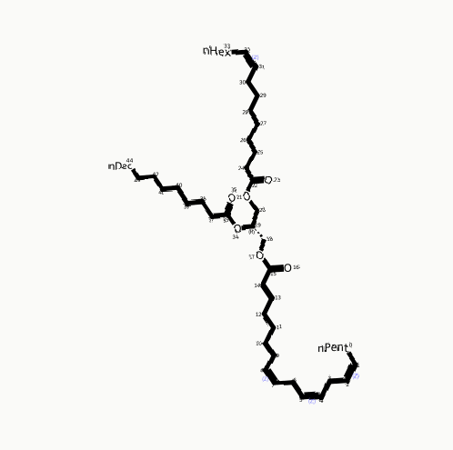 CCCCC/C=C\C/C=C\C/C=C\CCCCCCC(=O)OC[C@@H](COC(=O)CCCCCCC/C=C\CCCCCC)OC(=O)CCCCCCCCCCCCCCCCC